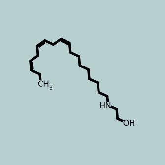 CC/C=C\C/C=C\C/C=C\CCCCCCCCNCCO